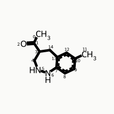 CC(=O)C1CNNc2ccc(C)cc2C1